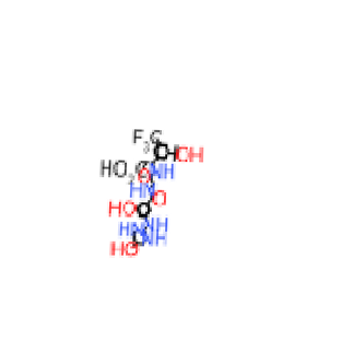 CC(C)(O)c1cc([C@H](CC(=O)O)NC(=O)CNC(=O)c2cc(O)cc(NC3NCC(O)CN3)c2)cc(C(F)(F)F)c1